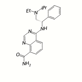 CCN(C[C@@H](Nc1ncnc2c(C(N)=O)cccc12)c1ccccc1)C(C)C